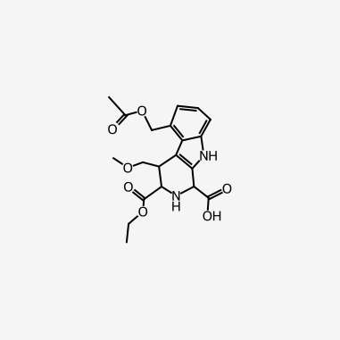 CCOC(=O)C1NC(C(=O)O)c2[nH]c3cccc(COC(C)=O)c3c2C1COC